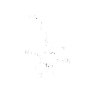 C=C(C)C(=O)O.C=CC(C=C)=CC.CCCCCN